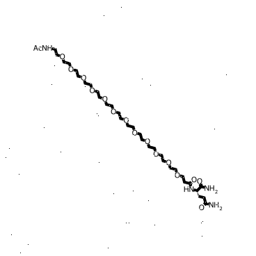 CC(=O)NCCOCCOCCOCCOCCOCCOCCOCCOCCOCCOCCOCCOCCC(=O)N[C@@H](CCC(N)=O)C(N)=O